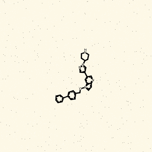 c1ccc(-c2ccc(COn3ccc4ncc(-c5cnn(C6CCNCC6)c5)cc43)cc2)cc1